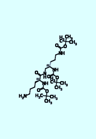 CC(C)(C)OC(=O)NCCC[C@@H](CNC(=O)[C@H](CCCCN)NC(=O)OC(C)(C)C)NC(=O)OC(C)(C)C